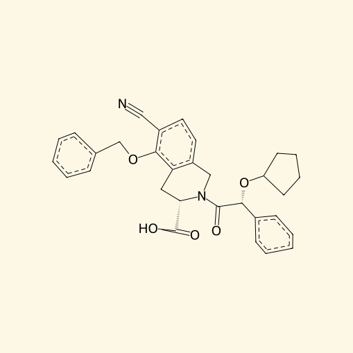 N#Cc1ccc2c(c1OCc1ccccc1)C[C@@H](C(=O)O)N(C(=O)[C@H](OC1CCCC1)c1ccccc1)C2